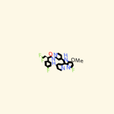 COc1cc(F)nc2c(-c3ccccn3)c(-c3ccnc(NC(=O)[C@H](CC(F)F)c4ccc(F)cc4)c3)[nH]c12